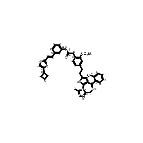 CCOC(=O)c1cc(CCc2cc3c(s2)-n2c(C)nnc2CN=C3c2ccccc2Cl)ccc1CC(=O)Nc1cccc(C=Cc2nc(C3CCC3)cs2)c1